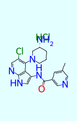 Cc1cncc(C(=O)Nc2c[nH]c3ncc(Cl)c(N4CCC[C@@H](N)C4)c23)c1.Cl